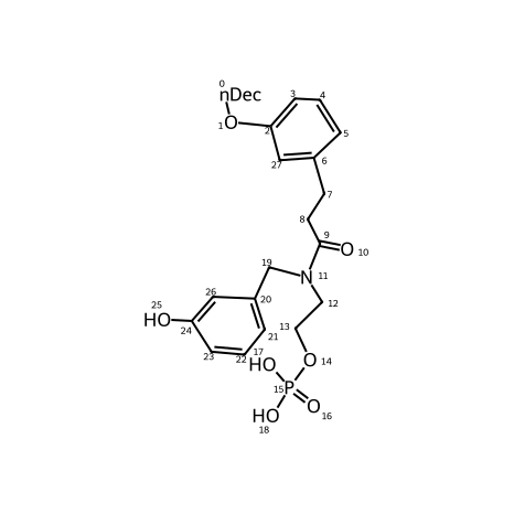 CCCCCCCCCCOc1cccc(CCC(=O)N(CCOP(=O)(O)O)Cc2cccc(O)c2)c1